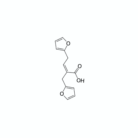 O=C(O)C(=CCc1ccco1)Cc1ccco1